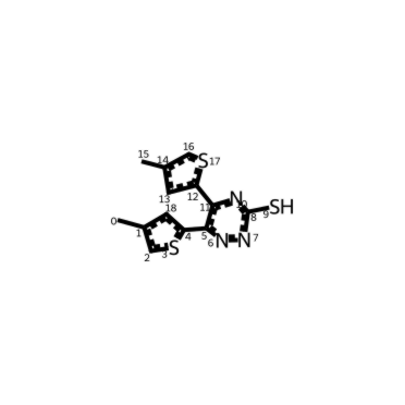 Cc1csc(-c2nnc(S)nc2-c2cc(C)cs2)c1